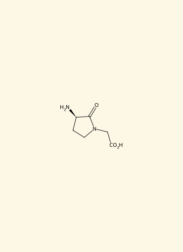 N[C@@H]1CCN(CC(=O)O)C1=O